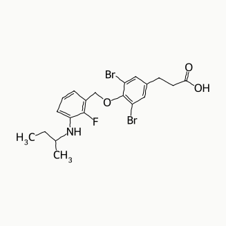 CCC(C)Nc1cccc(COc2c(Br)cc(CCC(=O)O)cc2Br)c1F